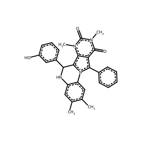 Cc1cc2c(cc1C)-n1c(-c3ccccc3)c3c(=O)n(C)c(=O)n(C)c3c1C(c1cccc(O)c1)N2